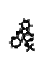 CC(C)(C)OC(=O)N(C1COCCOC1)N1C(=O)c2ccccc2C1=O